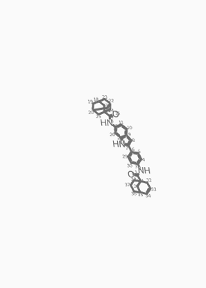 O=C(Nc1ccc(-c2cc3ccc(NC(=O)C45CC6CC(CC(C6)C4)C5)cc3[nH]2)cc1)C12CC=CC(CCC1)C2